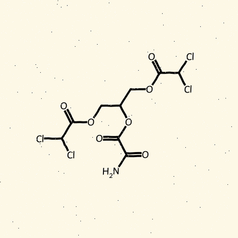 NC(=O)C(=O)OC(COC(=O)C(Cl)Cl)COC(=O)C(Cl)Cl